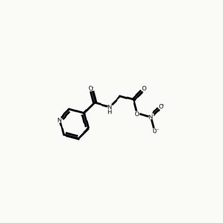 O=C(CNC(=O)c1cccnc1)O[N+](=O)[O-]